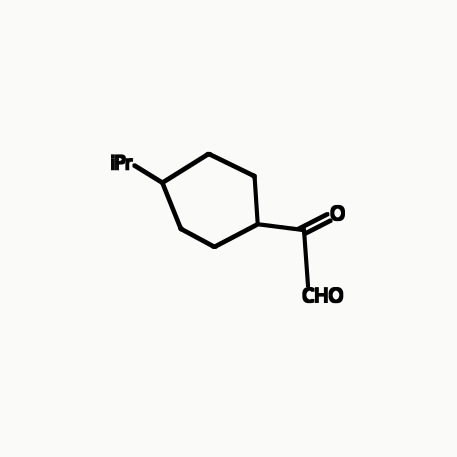 CC(C)C1CCC(C(=O)C=O)CC1